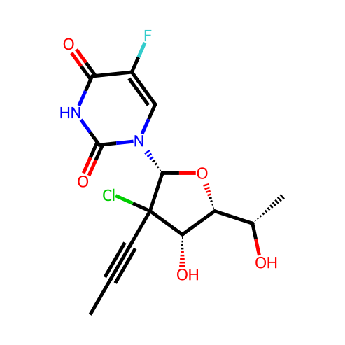 CC#CC1(Cl)[C@@H](O)[C@@H]([C@H](C)O)O[C@H]1n1cc(F)c(=O)[nH]c1=O